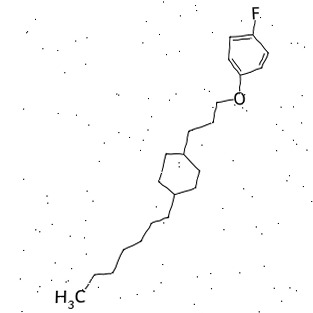 CCCCCCCC1CCC(CCCOc2ccc(F)cc2)CC1